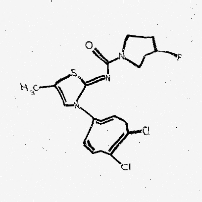 Cc1cn(-c2ccc(Cl)c(Cl)c2)c(=NC(=O)N2CC[C@@H](F)C2)s1